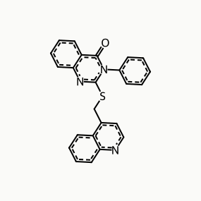 O=c1c2ccccc2nc(SCc2ccnc3ccccc23)n1-c1ccccc1